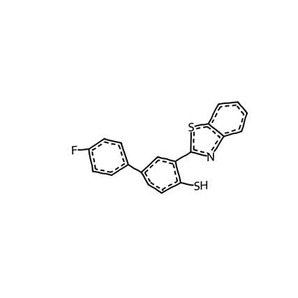 Fc1ccc(-c2ccc(S)c(-c3nc4ccccc4s3)c2)cc1